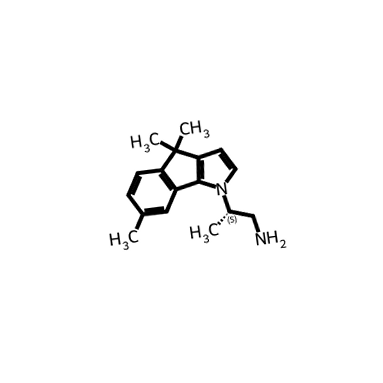 Cc1ccc2c(c1)-c1c(ccn1[C@@H](C)CN)C2(C)C